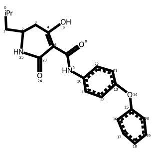 CC(C)CC1CC(O)=C(C(=O)Nc2ccc(Oc3ccccc3)cc2)C(=O)N1